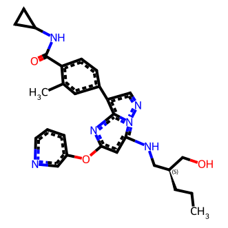 CCC[C@H](CO)CNc1cc(Oc2cccnc2)nc2c(-c3ccc(C(=O)NC4CC4)c(C)c3)cnn12